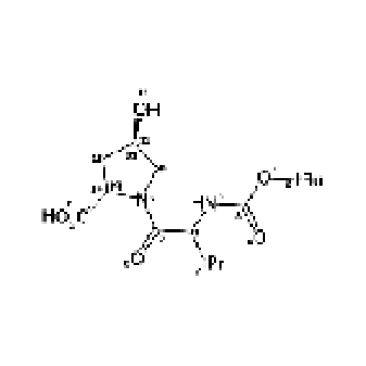 CC(C)C(NC(=O)OC(C)(C)C)C(=O)N1C[C@H](O)C[C@H]1C(=O)O